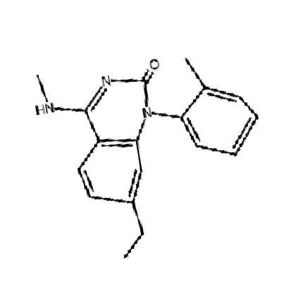 CCc1ccc2c(NC)nc(=O)n(-c3ccccc3C)c2c1